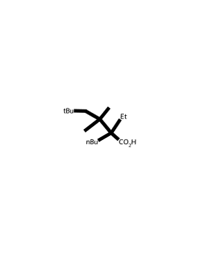 CCCCC(CC)(C(=O)O)C(C)(C)CC(C)(C)C